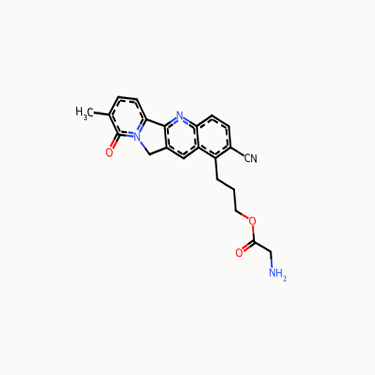 Cc1ccc2n(c1=O)Cc1cc3c(CCCOC(=O)CN)c(C#N)ccc3nc1-2